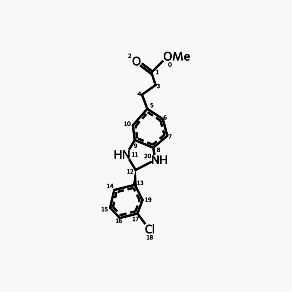 COC(=O)CCc1ccc2c(c1)N[C@H](c1cccc(Cl)c1)N2